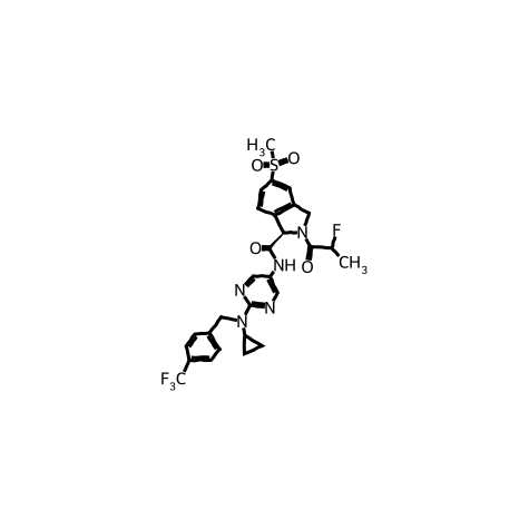 CC(F)C(=O)N1Cc2cc(S(C)(=O)=O)ccc2[C@@H]1C(=O)Nc1cnc(N(Cc2ccc(C(F)(F)F)cc2)C2CC2)nc1